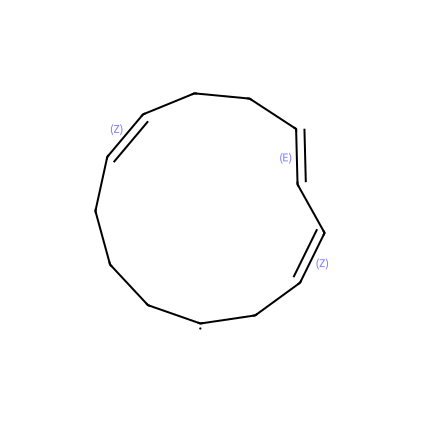 [CH]1C/C=C\C=C\CC/C=C\CCC1